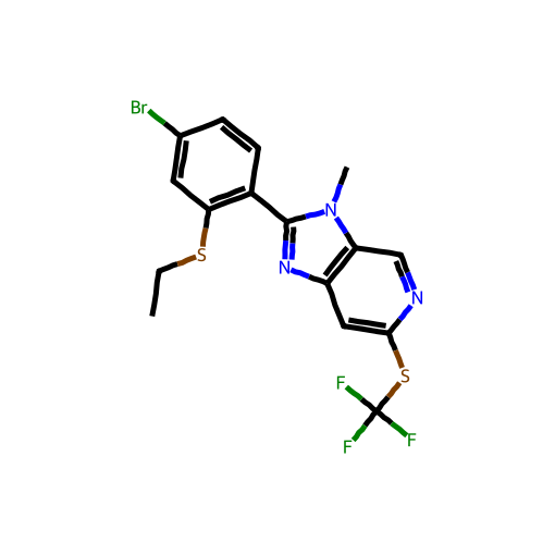 CCSc1cc(Br)ccc1-c1nc2cc(SC(F)(F)F)ncc2n1C